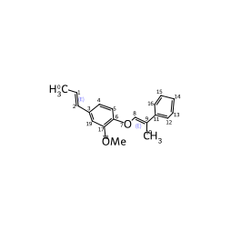 C/C=C/c1ccc(O/C=C(\C)c2ccccc2)c(OC)c1